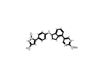 COc1ncc(-c2cccc3c2CC[C@H]3Oc2ccc(-c3cc(O)n[s+]3[O-])cc2)cn1